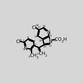 C=C(c1ccc(Cl)nc1C)c1cn(C(=O)O)c2ncc(Cl)cc12